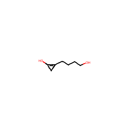 OCCCCC1=C(O)C1